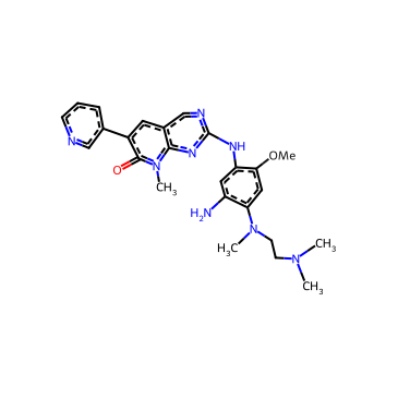 COc1cc(N(C)CCN(C)C)c(N)cc1Nc1ncc2cc(-c3cccnc3)c(=O)n(C)c2n1